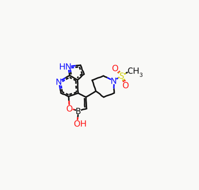 CS(=O)(=O)N1CCC(C2=CB(O)Oc3cnc4[nH]ccc4c32)CC1